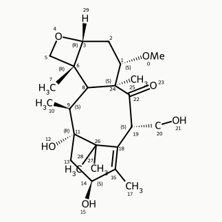 CO[C@H]1C[C@H]2OC[C@@]2(C)C2[C@H](C)[C@]3(O)C[C@H](O)C(C)=C([C@@H](CO)C(=O)[C@@]21C)C3(C)C